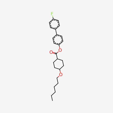 CCCCCCOC1CCC(C(=O)Oc2ccc(-c3ccc(F)cc3)cc2)CC1